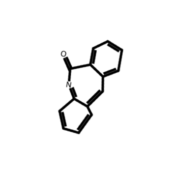 O=c1nc2ccccc2cc2ccccc12